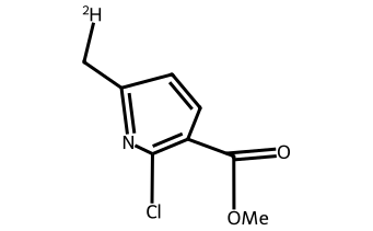 [2H]Cc1ccc(C(=O)OC)c(Cl)n1